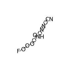 N#Cc1ccc(N2CCN(c3ccc(NC(=O)c4ccc(OCCOCCOCCF)cc4)cc3)CC2)cc1